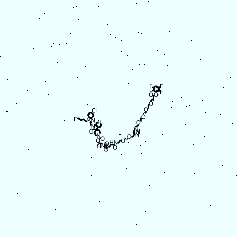 C[C@H](CNS(=O)(=O)CCC(=O)NCCOCCOCc1cn(CCOCCOCCOCCOCCC(=O)Oc2c(F)c(F)cc(F)c2F)nn1)OC(=O)N1CCC2(CC1)C(=O)N(Cc1nc3cc(Cl)ccc3n1CCCCF)c1cnccc12